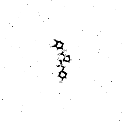 Cc1ccc(NC(=O)N2CCC[C@@H]2C(=O)N(C)Cc2ccc(Cl)cc2)cc1I